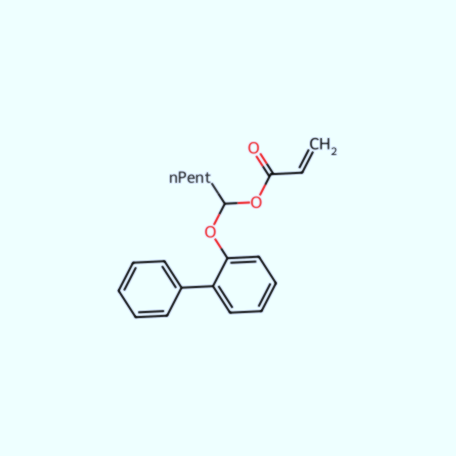 C=CC(=O)OC(CCCCC)Oc1ccccc1-c1ccccc1